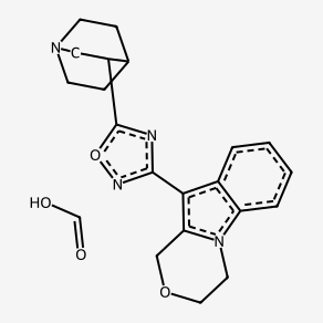 O=CO.c1ccc2c(c1)c(-c1noc(C3CN4CCC3CC4)n1)c1n2CCOC1